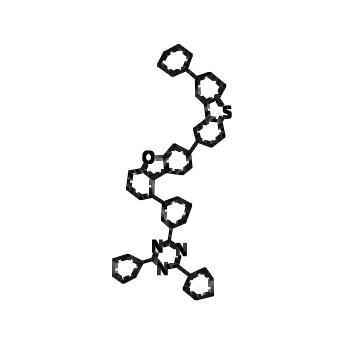 c1ccc(-c2ccc3sc4ccc(-c5ccc6c(c5)oc5cccc(-c7cccc(-c8nc(-c9ccccc9)nc(-c9ccccc9)n8)c7)c56)cc4c3c2)cc1